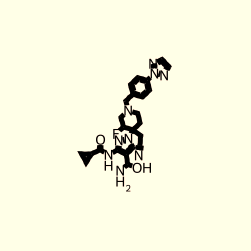 N#CCC1(n2cc(C(N)O)c(NC(=O)C3CC3)n2)CCN(Cc2ccc(-n3nccn3)cc2)CC1F